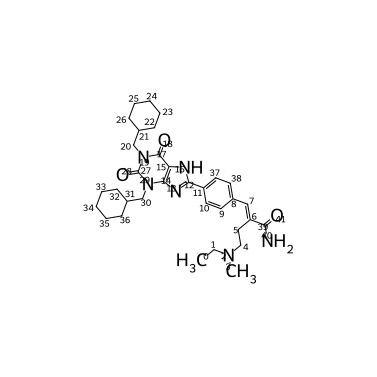 CCN(C)CC/C(=C\c1ccc(-c2nc3c([nH]2)c(=O)n(CC2CCCCC2)c(=O)n3CC2CCCCC2)cc1)C(N)=O